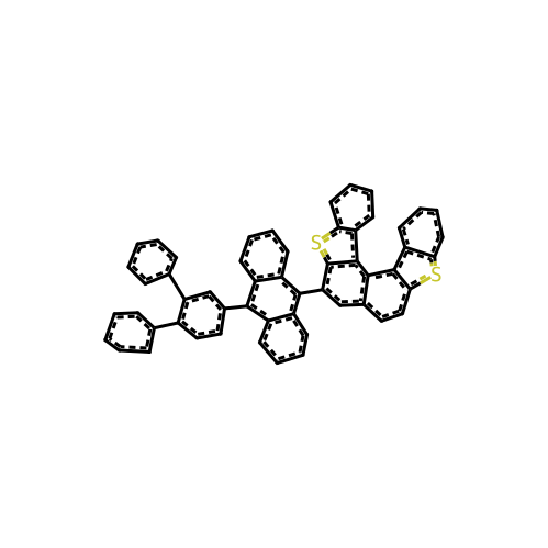 c1ccc(-c2ccc(-c3c4ccccc4c(-c4cc5ccc6sc7ccccc7c6c5c5c4sc4ccccc45)c4ccccc34)cc2-c2ccccc2)cc1